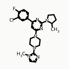 CC1CCCN1c1nc(-c2ccc(F)c(Cl)c2)cc(N2CCN(c3nccn3C)CC2)n1